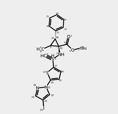 C#[SH](N[C@@]1(C(=O)OC(C)(C)C)C(C)[C@@H]1c1ccccc1)c1ccc(-n2cc(I)cn2)s1